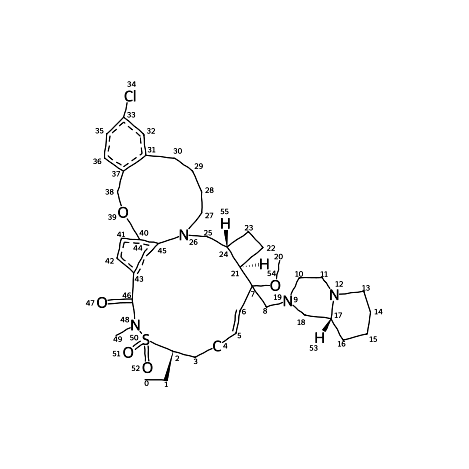 CC[C@@H]1CC/C=C/C(CN2CCN3CCCC[C@@H]3C2)(OC)[C@@H]2CC[C@H]2CN2CCCCc3cc(Cl)ccc3COc3ccc(cc32)C(=O)N(C)S1(=O)=O